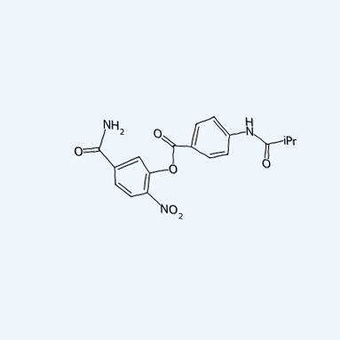 CC(C)C(=O)Nc1ccc(C(=O)Oc2cc(C(N)=O)ccc2[N+](=O)[O-])cc1